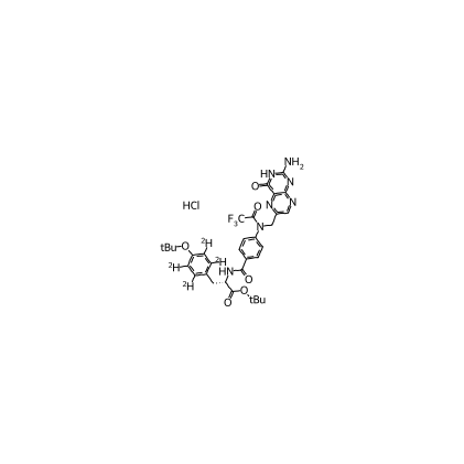 Cl.[2H]c1c([2H])c(OC(C)(C)C)c([2H])c([2H])c1C[C@H](NC(=O)c1ccc(N(Cc2cnc3nc(N)[nH]c(=O)c3n2)C(=O)C(F)(F)F)cc1)C(=O)OC(C)(C)C